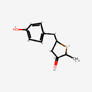 CC1SC(Cc2ccc(O)cc2)CC1=O